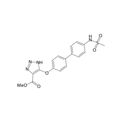 COC(=O)c1nn[nH]c1Oc1ccc(-c2ccc(NS(C)(=O)=O)cc2)cc1